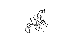 Cc1c(CC(=O)O)cc2oc3ccccc3c2c1C